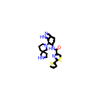 O=C(Nc1ccc2cn[nH]c2c1N1CCCC2(CCNC2)C1)c1csc(-c2cccs2)n1